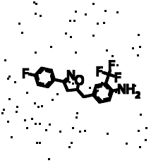 Nc1ccc(CC2CC(c3ccc(F)cc3)=NO2)cc1C(F)(F)F